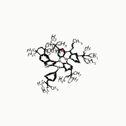 CCCC(CC)c1cc(C(C)(C)C)ccc1N1c2ccc(C(C)(C)C)cc2B2c3c1cc(C(C)(C)C)cc3N(c1ccc(C(C)(C)C)cc1)c1sc3cc4c(cc3c12)C(C)(C)CCC4(C)C